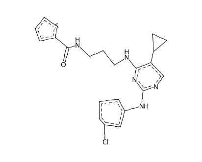 O=C(NCCCNc1nc(Nc2cccc(Cl)c2)ncc1C1CC1)c1cccs1